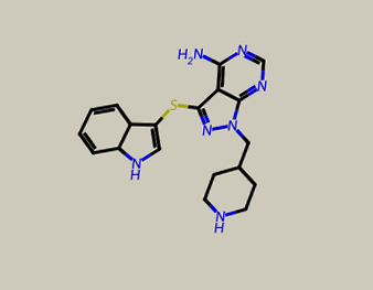 Nc1ncnc2c1c(SC1=CNC3C=CC=CC13)nn2CC1CCNCC1